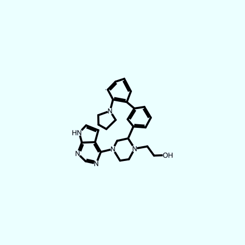 OCCN1CCN(c2ncnc3[nH]ccc23)CC1c1cccc(-c2ccc[c]c2N2CCCC2)c1